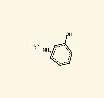 N.N.Oc1ccccc1